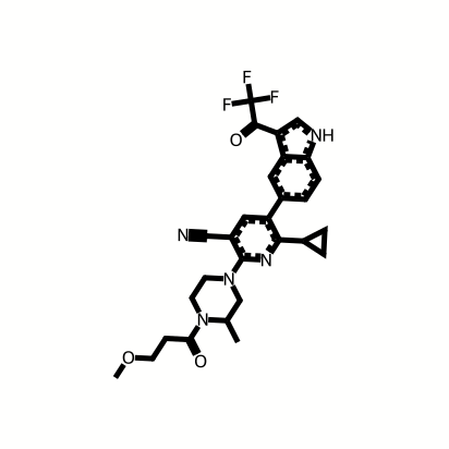 COCCC(=O)N1CCN(c2nc(C3CC3)c(-c3ccc4[nH]cc(C(=O)C(F)(F)F)c4c3)cc2C#N)CC1C